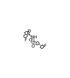 O=C(CC1OC(=O)c2cc(-c3cccc(F)c3)ccc21)NCCn1c(=O)ccc2ccc(F)cc21